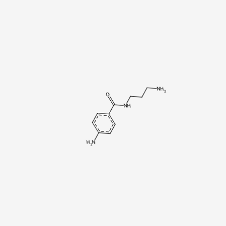 NCCCNC(=O)c1ccc(N)cc1